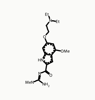 CCN(CC)CCOc1cc(OC)c2cc(C(=O)N=C(N)NC)[nH]c2c1